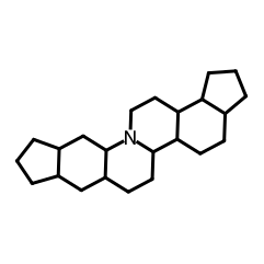 C1CC2CC3CCC4C5CCC6CCCC6C5CCN4C3CC2C1